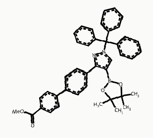 COC(=O)c1ccc(-c2ccc(-c3nn(C(c4ccccc4)(c4ccccc4)c4ccccc4)cc3B3OC(C)(C)C(C)(C)O3)cc2)cc1